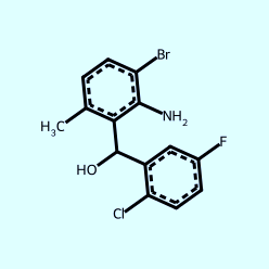 Cc1ccc(Br)c(N)c1C(O)c1cc(F)ccc1Cl